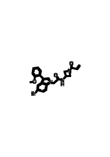 C=CC(=O)N1CC(NC(=O)Cn2cc(-c3ccccc3OC)c3cc(Br)ccc32)C1